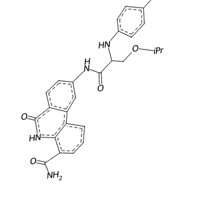 CC(C)OCC(Nc1ccc(F)cc1)C(=O)Nc1ccc2c(=O)[nH]c3c(C(N)=O)cccc3c2c1